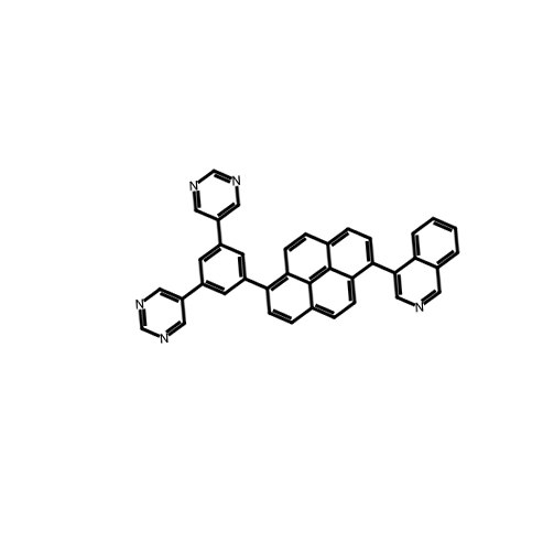 c1ccc2c(-c3ccc4ccc5c(-c6cc(-c7cncnc7)cc(-c7cncnc7)c6)ccc6ccc3c4c65)cncc2c1